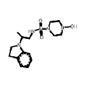 CC(CNS(=O)(=O)N1CCN(O)CC1)N1CCc2ccccc21